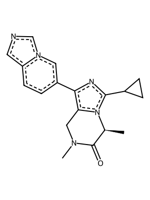 C[C@H]1C(=O)N(C)Cc2c(-c3ccc4cncn4c3)nc(C3CC3)n21